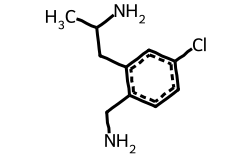 CC(N)Cc1cc(Cl)ccc1CN